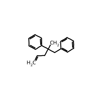 [CH2]C(CC=C)(Cc1ccccc1)c1ccccc1